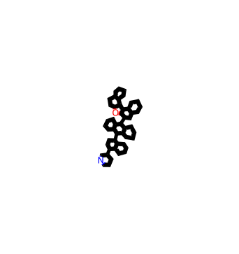 c1cncc(-c2ccc(-c3c4ccccc4c(-c4cc5ccccc5c5c4oc4ccc6ccccc6c45)c4ccccc34)c3ccccc23)c1